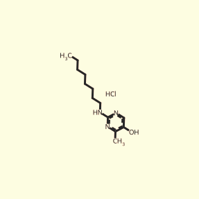 CCCCCCCCNc1ncc(O)c(C)n1.Cl